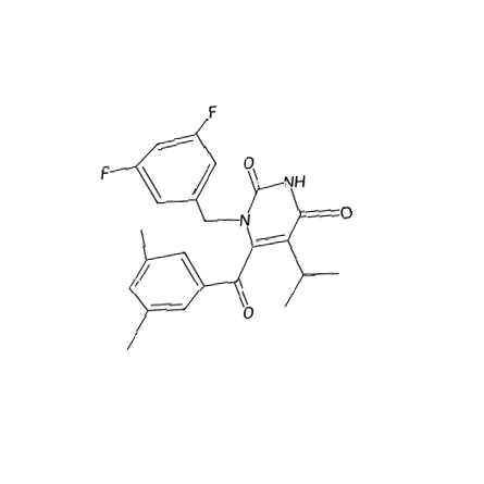 Cc1cc(C)cc(C(=O)c2c(C(C)C)c(=O)[nH]c(=O)n2Cc2cc(F)cc(F)c2)c1